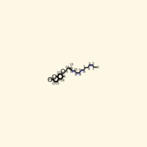 CC/C=C\CC/C=C/C=C\C=C\[C@@H](C)CCOc1ccc2ccc(=O)oc2c1